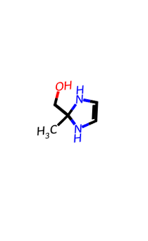 CC1(CO)NC=CN1